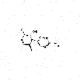 O=C1C=CC(F)C(O)N1c1ccc(C(F)(F)F)nc1